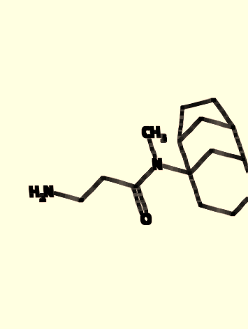 CN(C(=O)CCN)C12CCCC(C1)C1CCC2C1